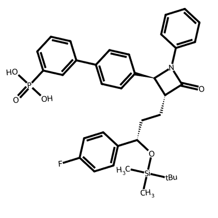 CC(C)(C)[Si](C)(C)O[C@@H](CC[C@H]1C(=O)N(c2ccccc2)[C@@H]1c1ccc(-c2cccc(P(=O)(O)O)c2)cc1)c1ccc(F)cc1